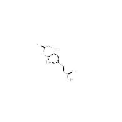 O=C(O)C=Cc1cnc2c(c1)NCC(=O)O2